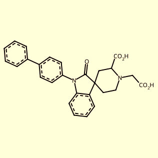 O=C(O)CN1CCC2(CC1C(=O)O)C(=O)N(c1ccc(-c3ccccc3)cc1)c1ccccc12